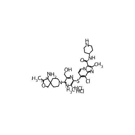 Cc1nc(N2CCC3(CC2)CO[C@@H](C)[C@H]3N)c(CO)nc1Sc1ccn2c(C(=O)NC3CCNCC3)c(C)nc2c1Cl.Cl.Cl